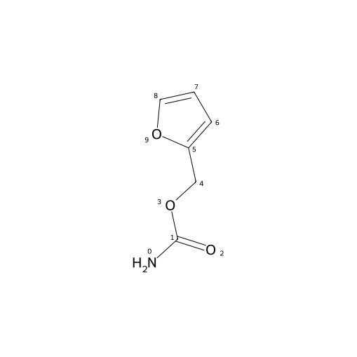 NC(=O)OCc1ccco1